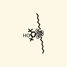 CCCCCCCCS(=O)(=O)N(c1cc(C(C)(C)C)c(O)c(C(C)(C)C)c1)S(=O)(=O)CCCCCCCC